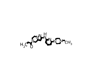 C=CC(=O)N1CCn2nc(Nc3cccc(N4CCN(CC)CC4)n3)cc2C1